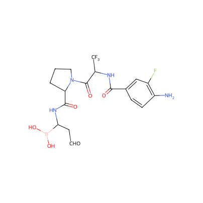 Nc1ccc(C(=O)NC(C(=O)N2CCCC2C(=O)NC(CC=O)B(O)O)C(F)(F)F)cc1F